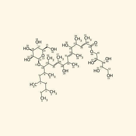 CCC(C)CC(C)CC(C)C(O[C@@H]1O[C@H](CO)[C@@H](O)[C@H](O)[C@@H]1O)C(C)/C=C(\C)C(O)C(C)/C=C(\C)C(O)C(C)/C=C(\C)C(=O)OC[C@H](O)[C@H](O)[C@@H](O)CO